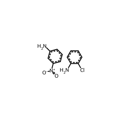 Nc1cccc([N+](=O)[O-])c1.Nc1ccccc1Cl